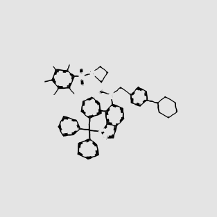 O=C([C@H]1CCN1S(=O)(=O)c1c(F)c(F)c(F)c(F)c1F)N(Cc1ccc(C2CCCCC2)cc1)c1ccc2cnn(C(c3ccccc3)(c3ccccc3)c3ccccc3)c2c1F